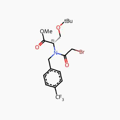 COC(=O)[C@H](COC(C)(C)C)N(Cc1ccc(C(F)(F)F)cc1)C(=O)CBr